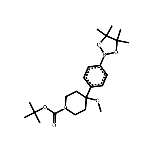 COC1(c2ccc(B3OC(C)(C)C(C)(C)O3)cc2)CCN(C(=O)OC(C)(C)C)CC1